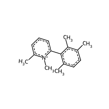 Cc1ccc(C)c(-c2cccc(C)[n+]2C)c1C